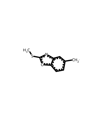 [CH2]c1ccc2oc(SC)nc2c1